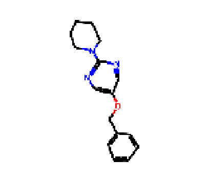 c1ccc(COc2cnc(N3CCCCC3)nc2)cc1